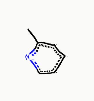 Cc1[c][c][c]cn1